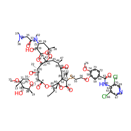 CC[C@H]1OC(=O)[C@H](C)[C@@H](O[C@H]2C[C@@](C)(OC)[C@@H](O)[C@H](C)O2)[C@H](C)[C@@H](O[C@@H]2O[C@H](C)C[C@H](N(C)C(=O)CN(C)C)[C@H]2O)[C@](C)(OC)C[C@@H](C)C(=O)[C@H](C)[C@H]2C(SCCOc3cc(C(=O)Nc4c(Cl)cncc4Cl)ccc3OC)C(=O)O[C@@]21C